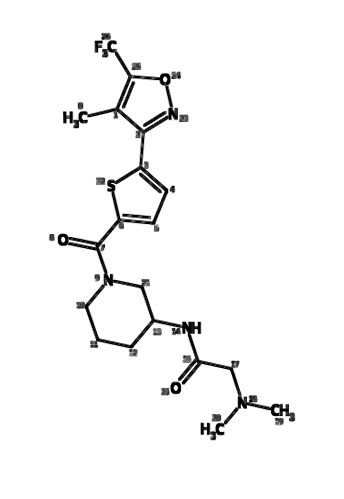 Cc1c(-c2ccc(C(=O)N3CCCC(NC(=O)CN(C)C)C3)s2)noc1C(F)(F)F